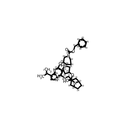 CC(C)c1cnn2c(NCC3CC4CCC(C3)N4C(=O)OC3CCNC3)cc(O[C@@H]3CCCN(C(=O)OCc4ccccc4)C3)nc12